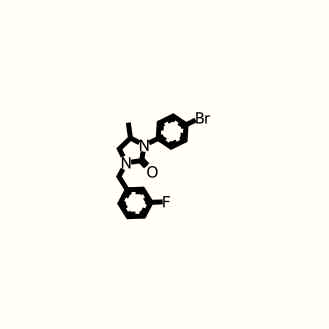 CC1CN(Cc2cccc(F)c2)C(=O)N1c1ccc(Br)cc1